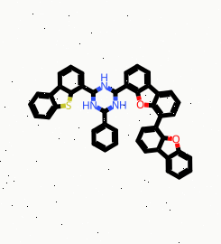 C1=CC2c3ccccc3OC2C(c2cccc3c2oc2c(C4NC(C5=CC=CC6c7ccccc7SC56)NC(c5ccccc5)N4)cccc23)=C1